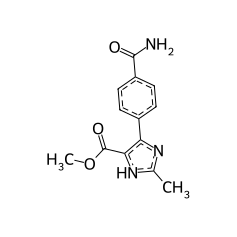 COC(=O)c1[nH]c(C)nc1-c1ccc(C(N)=O)cc1